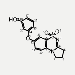 O=S1(=O)N=C2CCCN2c2ccc(Oc3cccc(O)c3)cc21